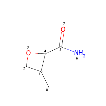 C[C]1COC1C(N)=O